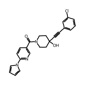 O=C(c1ccc(-n2cccc2)nc1)N1CCC(O)(C#Cc2cccc(Cl)c2)CC1